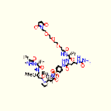 CC[C@H](C)[C@@H]([C@@H](CC(=O)N1CCC[C@H]1[C@H](OC)[C@@H](C)C(=O)NS(=O)(=O)c1ccc(NC(=O)[C@H](CCCNC(N)=O)NC(=O)[C@@H](NC(=O)CCOCCOCCOCCN2C(=O)C=CC2=O)C(C)C)cc1)OC)N(C)C(=O)[C@@H](NC(=O)[C@H](C(C)C)N(C)C)C(C)C